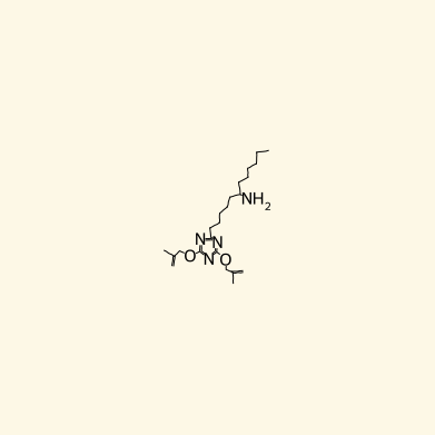 C=C(C)COc1nc(CCCCCC(N)CCCCCC)nc(OCC(=C)C)n1